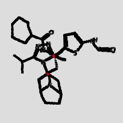 Cc1nnc(C(C)C)n1C1CC2CCC(C1)N2CC[C@H](NC(=O)C1CCCCC1)c1ccc(NC=O)s1